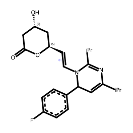 CC(C)C1=CC(c2ccc(F)cc2)N(/C=C/[C@@H]2C[C@@H](O)CC(=O)O2)C(C(C)C)=N1